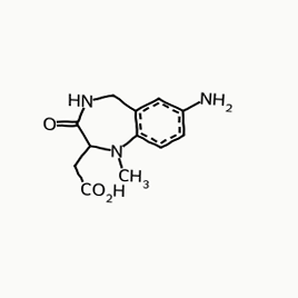 CN1c2ccc(N)cc2CNC(=O)C1CC(=O)O